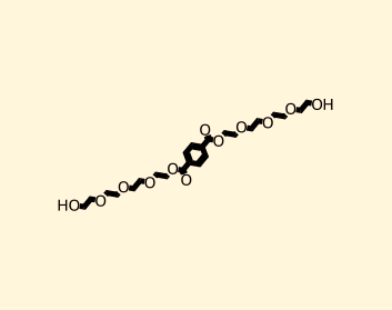 O=C(OCCOCCOCCOCCO)c1ccc(C(=O)OCCOCCOCCOCCO)cc1